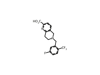 O=C(O)c1ccc2c(n1)CCN(Cc1cc(F)ccc1C(F)(F)F)C2